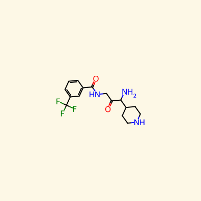 NC(C(=O)CNC(=O)c1cccc(C(F)(F)F)c1)C1CCNCC1